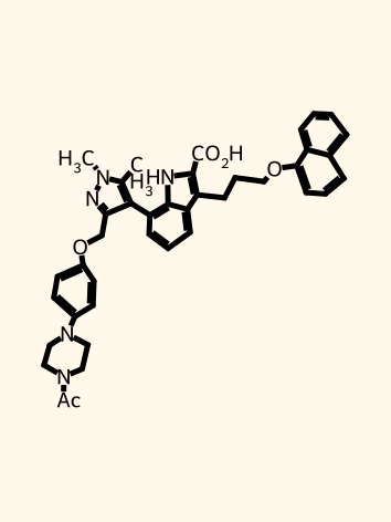 CC(=O)N1CCN(c2ccc(OCc3nn(C)c(C)c3-c3cccc4c(CCCOc5cccc6ccccc56)c(C(=O)O)[nH]c34)cc2)CC1